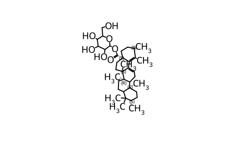 CC1=C2C3=CCC4[C@@]5(C)CC[C@H](C)C(C)(C)C5CC[C@@]4(C)[C@]3(C)CC[C@@]2(C(=O)OC2OC(CO)C(O)C(O)C2O)CC[C@H]1C